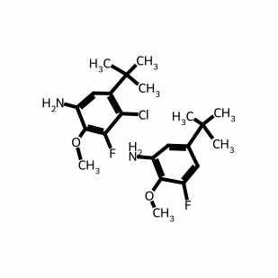 COc1c(N)cc(C(C)(C)C)c(Cl)c1F.COc1c(N)cc(C(C)(C)C)cc1F